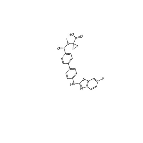 CN(C(=O)c1ccc(-c2ccc(Nc3nc4ccc(F)cc4s3)cc2)cc1)C1(C(=O)O)CC1